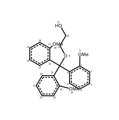 COc1ccccc1C(OCCO)(c1ccccc1OC)c1ccccc1OC